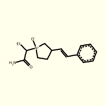 CCC(C(N)=O)[N+]1([O-])CCC(C=Cc2ccccc2)C1